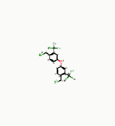 FC(F)(F)c1cc(Oc2ccc(CBr)c(C(F)(F)F)c2)ccc1CBr